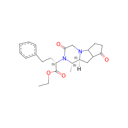 CCOC(=O)[C@H](CCc1ccccc1)N1C(=O)CN2C3CCC(=O)C3C[C@H]2[C@@H]1C